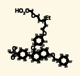 CCN(CCOCC(=O)O)CCOc1ccc(Oc2c(-c3ccc(S(C)(=O)=O)cc3)ccc3cc(OCc4ccccc4)ccc23)cc1